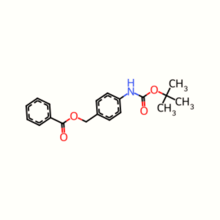 CC(C)(C)OC(=O)Nc1ccc(COC(=O)c2ccccc2)cc1